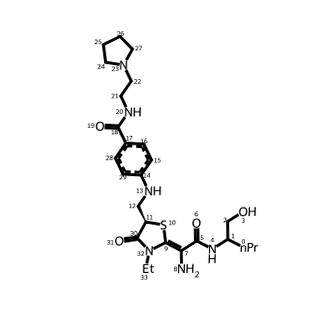 CCCC(CO)NC(=O)/C(N)=C1\S[C@H](CNc2ccc(C(=O)NCCN3CCCC3)cc2)C(=O)N1CC